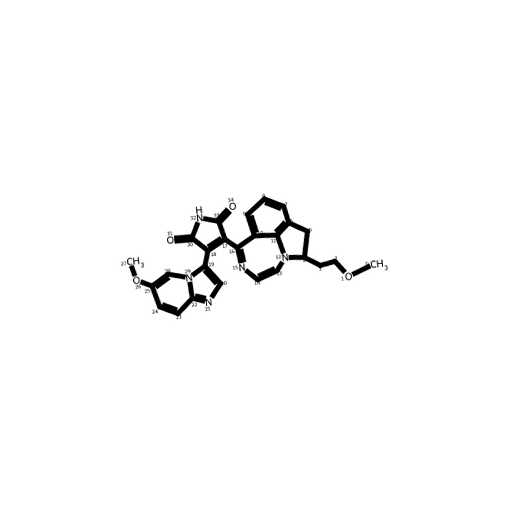 COCCC1Cc2cccc3c2N1C=CN=C3C1=C(c2cnc3ccc(OC)cn23)C(=O)NC1=O